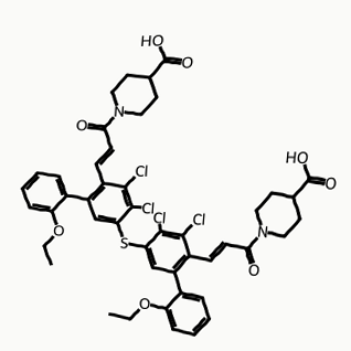 CCOc1ccccc1-c1cc(Sc2cc(-c3ccccc3OCC)c(/C=C/C(=O)N3CCC(C(=O)O)CC3)c(Cl)c2Cl)c(Cl)c(Cl)c1/C=C/C(=O)N1CCC(C(=O)O)CC1